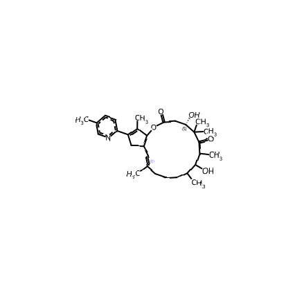 CC1=C(c2ccc(C)cn2)CC2/C=C(\C)CCCC(C)C(O)C(C)C(=O)C(C)(C)[C@@H](O)CC(=O)OC12